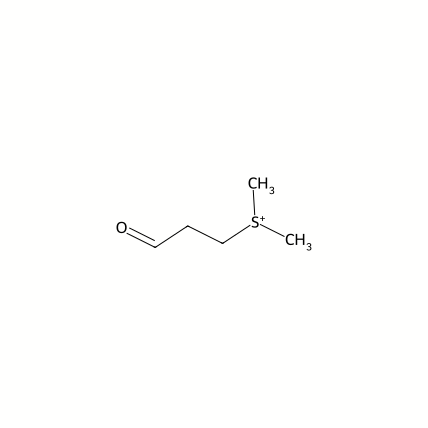 C[S+](C)CCC=O